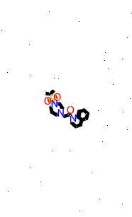 CC(C)S(=O)(=O)N1CCCN(CC(=O)N2CCCC3CCCC=C32)CC1